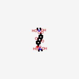 CC(O)N(OC(=O)c1ccc2c(c1)C(=O)c1ccc(C(=O)ON(C(C)O)C(C)O)cc1C2=O)C(C)O